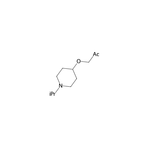 CC(=O)COC1CCN(C(C)C)CC1